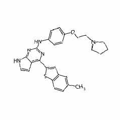 Cc1ccc2sc(-c3nc(Nc4ccc(OCCN5CCCC5)cc4)nc4[nH]ccc34)cc2c1